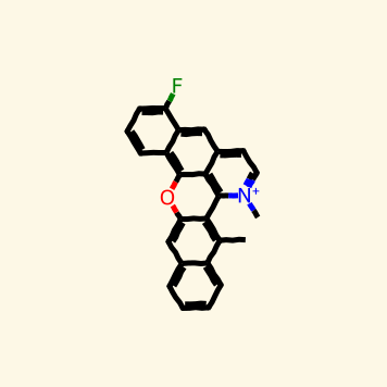 Cc1c2c(cc3ccccc13)Oc1c3cccc(F)c3cc3cc[n+](C)c-2c13